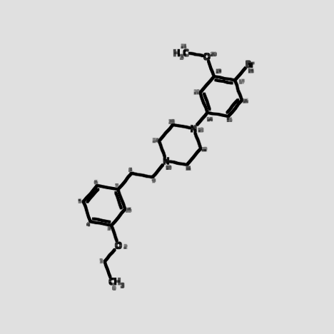 CCOc1cccc(CCN2CCN(c3ccc(Br)c(OC)c3)CC2)c1